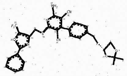 CC1(C)OC[C@@H](CCc2ccc(-c3c(C#N)c(N)nc(SCc4nc(-c5ccccc5)oc4C(F)(F)F)c3C#N)cc2)O1